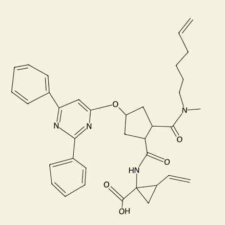 C=CCCCCN(C)C(=O)C1CC(Oc2cc(-c3ccccc3)nc(-c3ccccc3)n2)CC1C(=O)NC1(C(=O)O)CC1C=C